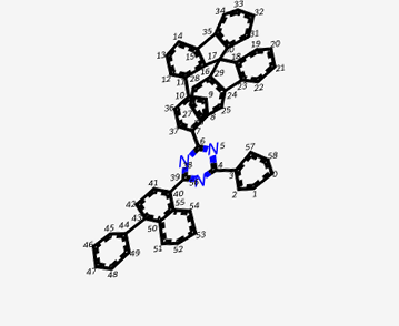 c1ccc(-c2nc(-c3ccc(-c4cccc5c4C4(c6ccccc6-c6ccccc64)c4ccccc4-5)cc3)nc(-c3ccc(-c4ccccc4)c4ccccc34)n2)cc1